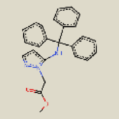 COC(=O)Cn1nccc1NC(c1ccccc1)(c1ccccc1)c1ccccc1